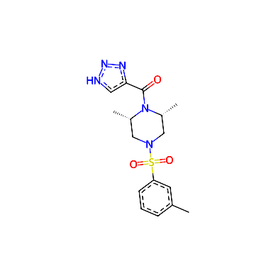 Cc1cccc(S(=O)(=O)N2C[C@@H](C)N(C(=O)c3c[nH]nn3)[C@@H](C)C2)c1